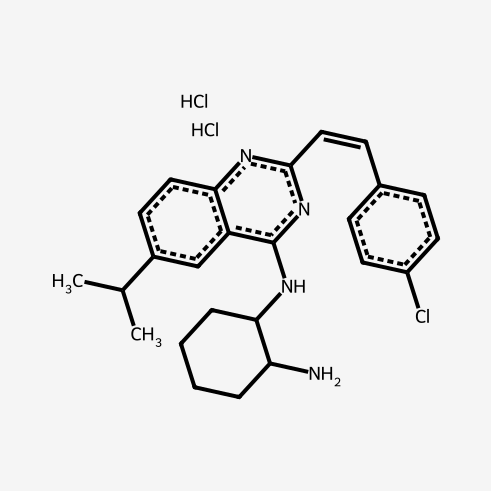 CC(C)c1ccc2nc(/C=C\c3ccc(Cl)cc3)nc(NC3CCCCC3N)c2c1.Cl.Cl